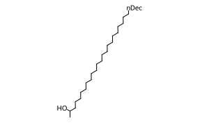 CCCCCCCCCCCCCCCCCCCCCCCCCCCCCCCC(C)O